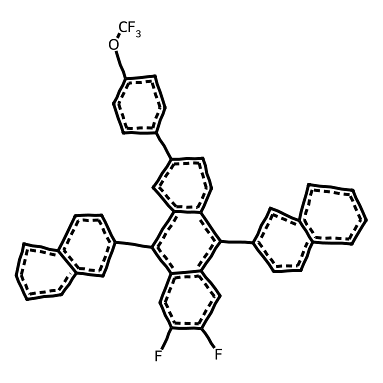 Fc1cc2c(-c3ccc4ccccc4c3)c3ccc(-c4ccc(OC(F)(F)F)cc4)cc3c(-c3ccc4ccccc4c3)c2cc1F